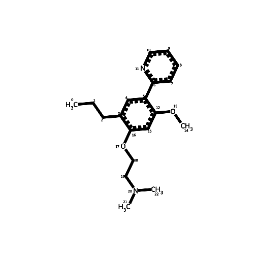 CCCc1cc(-c2ccc[c]n2)c(OC)cc1OCCN(C)C